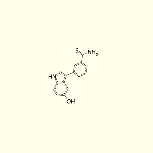 NC(=S)c1cccc(-c2c[nH]c3ccc(O)cc23)c1